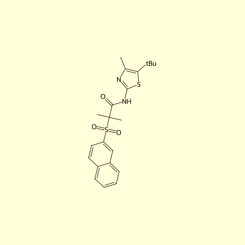 Cc1nc(NC(=O)C(C)(C)S(=O)(=O)c2ccc3ccccc3c2)sc1C(C)(C)C